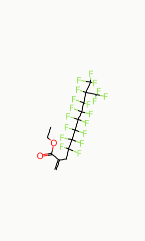 C=C(CC(F)(F)C(F)(F)C(F)(F)C(F)(F)C(F)(F)C(F)(F)C(F)(C(F)(F)F)C(F)(F)F)C(=O)OCC